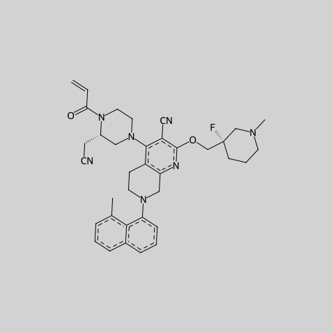 C=CC(=O)N1CCN(c2c(C#N)c(OC[C@]3(F)CCCN(C)C3)nc3c2CCN(c2cccc4cccc(C)c24)C3)C[C@@H]1CC#N